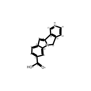 O=C(O)c1ccc2cc3n(c2c1)Cc1ccncc1-3